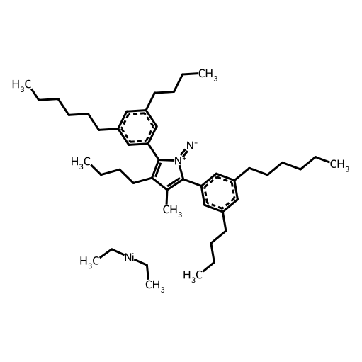 CCCCCCc1cc(CCCC)cc(C2=C(C)C(CCCC)=C(c3cc(CCCC)cc(CCCCCC)c3)[N+]2=[N-])c1.C[CH2][Ni][CH2]C